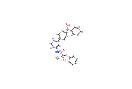 CC(O)(Cc1ccccc1)C(=O)Nc1cc(-c2ccc(C(O)c3ccccc3)cc2)ncn1